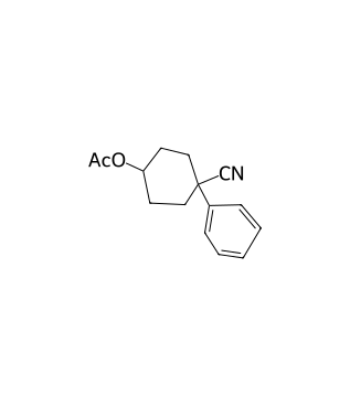 CC(=O)OC1CCC(C#N)(c2ccccc2)CC1